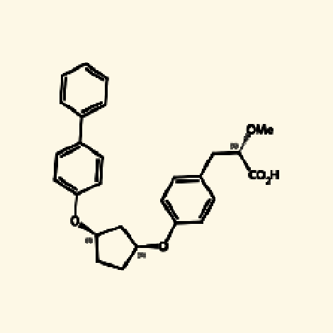 CO[C@@H](Cc1ccc(O[C@H]2CC[C@@H](Oc3ccc(-c4ccccc4)cc3)C2)cc1)C(=O)O